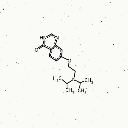 CC(C)N(CCOc1ccc2c(=O)[nH]cnc2c1)C(C)C